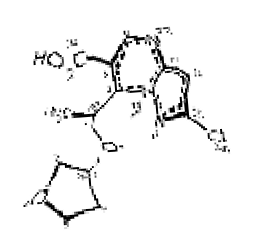 C[C@H](O[C@@H]1CCOC1)c1c(C(=O)O)cnc2cc(Cl)nn12